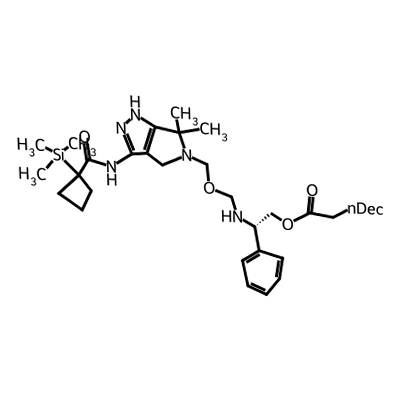 CCCCCCCCCCCC(=O)OC[C@@H](NCOCN1Cc2c(NC(=O)C3([Si](C)(C)C)CCC3)n[nH]c2C1(C)C)c1ccccc1